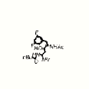 CCCCC(=O)NC(CCC)C[C@H](O)[C@H](Cc1cc(F)cc(F)c1)NC(C)=O